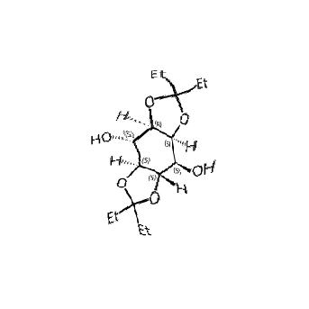 CCC1(CC)O[C@@H]2[C@@H](O)[C@@H]3OC(CC)(CC)O[C@H]3[C@H](O)[C@@H]2O1